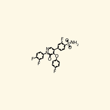 NS(=O)(=O)c1ccc(-c2cnn(-c3ccc(F)c(F)c3)c(=O)c2Oc2ccc(F)cc2)cc1F